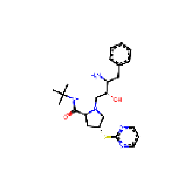 CC(C)(C)NC(=O)C1C[C@@H](Sc2ncccn2)CN1C[C@@H](O)[C@@H](N)Cc1ccccc1